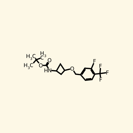 CC(C)(C)OC(=O)NC1CC(OCc2ccc(C(F)(F)F)c(F)c2)C1